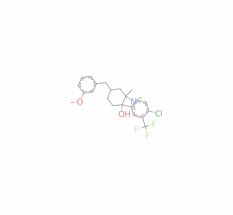 COc1cccc(CC2CCC(O)(c3ccc(Cl)c(C(F)(F)F)c3)C(C)(N(C)C)C2)c1